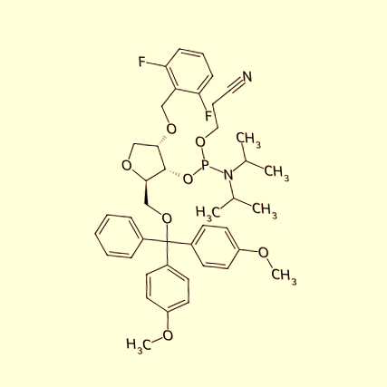 COc1ccc(C(OC[C@H]2OC[C@H](OCc3c(F)cccc3F)[C@@H]2OP(OCCC#N)N(C(C)C)C(C)C)(c2ccccc2)c2ccc(OC)cc2)cc1